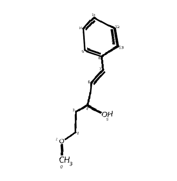 COCCC(O)/C=C/c1ccccc1